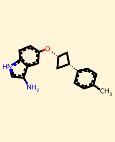 Cc1ccc([C@H]2C[C@@H](Oc3ccc4[nH]cc(N)c4c3)C2)cc1